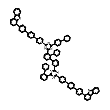 c1ccc(-c2ccc(-c3nc(-c4ccc(-c5ccc(-c6ccc(-c7cccc8c7sc7ccccc78)cc6)cc5)cc4)nc(-c4cccc(-c5cccc(-c6nc(-c7ccc(-c8ccc(-c9ccc(-c%10cccc%11c%10sc%10ccccc%10%11)cc9)cc8)cc7)nc(-c7ccccc7-c7ccccc7)n6)c5)c4-c4ccccc4)n3)cc2)cc1